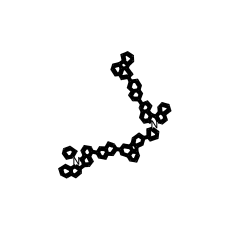 c1ccc(-n2c3c4ccccc4ccc3c3ccc4c(-c5ccc6cc(-c7cc8c9c(cccc9c7)-c7cc(-c9cccc(-n%10c%11ccc%12ccccc%12c%11c%11c%12ccc(-c%13ccc%14cc(-c%15cc%16c%17c(cccc%17c%15)-c%15ccccc%15-%16)ccc%14c%13)cc%12ccc%11%10)c9)ccc7-8)ccc6c5)cccc4c32)cc1